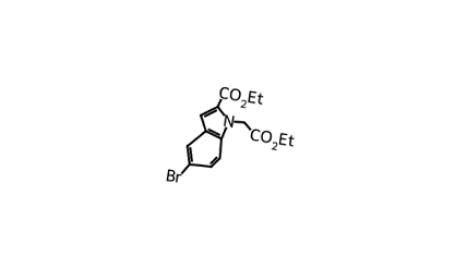 CCOC(=O)Cn1c(C(=O)OCC)cc2cc(Br)ccc21